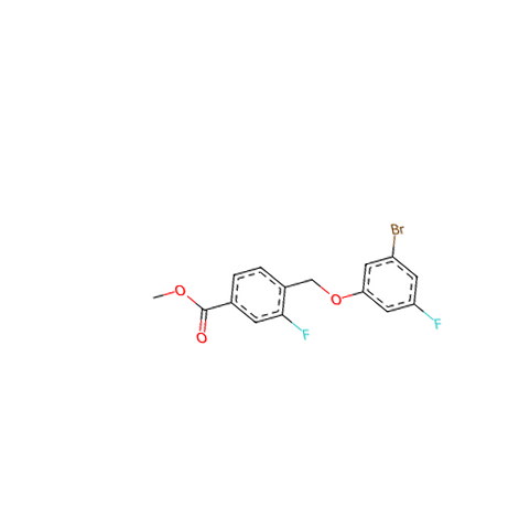 COC(=O)c1ccc(COc2cc(F)cc(Br)c2)c(F)c1